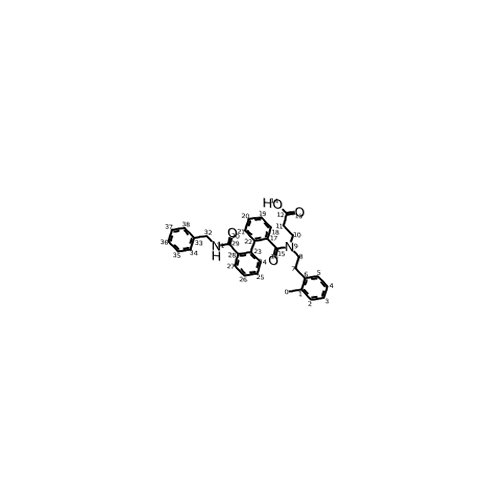 Cc1ccccc1CCN(CCC(=O)O)C(=O)c1ccccc1-c1ccccc1C(=O)NCc1ccccc1